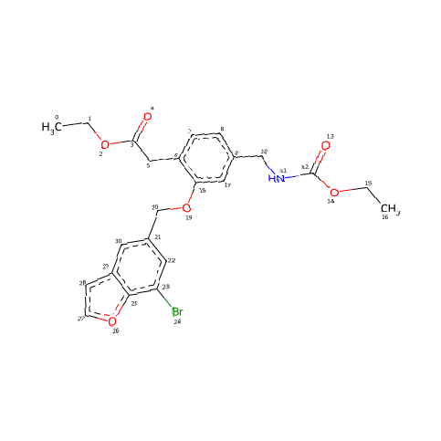 CCOC(=O)Cc1ccc(CNC(=O)OCC)cc1OCc1cc(Br)c2occc2c1